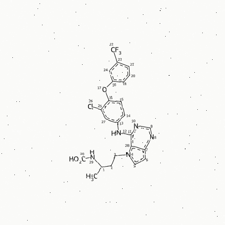 CC(CCn1ccc2ncnc(Nc3ccc(Oc4cccc(C(F)(F)F)c4)c(Cl)c3)c21)NC(=O)O